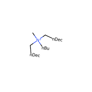 CCCCCCCCCCC[N+](C)(CCCC)CCCCCCCCCCC